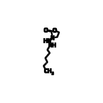 CCCCCCNNN1CCOC1=O